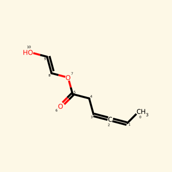 CC=C=CCC(=O)OC=CO